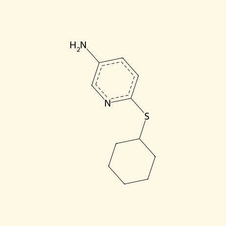 Nc1ccc(SC2CCCCC2)nc1